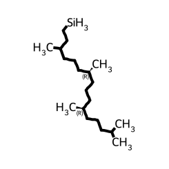 CC(C)CCC[C@@H](C)CCC[C@@H](C)CCCC(C)CC[SiH3]